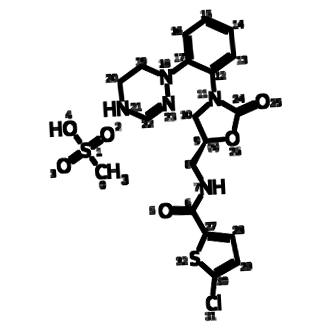 CS(=O)(=O)O.O=C(NC[C@H]1CN(c2ccccc2N2CCNC=N2)C(=O)O1)c1ccc(Cl)s1